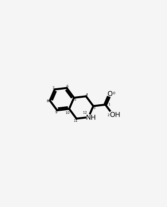 O=C(O)[C]1Cc2ccccc2CN1